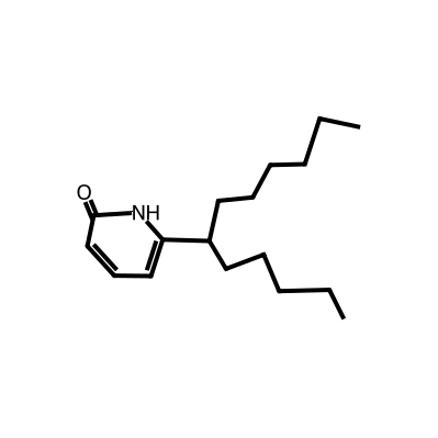 CCCCCCC(CCCCC)c1cccc(=O)[nH]1